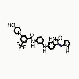 O=C1Nc2cc(Nc3cccc(NC(=O)c4cc(N5CCC(O)CC5)cc(C(F)(F)F)c4)c3)ccc2/C1=C/C1=CCCN1